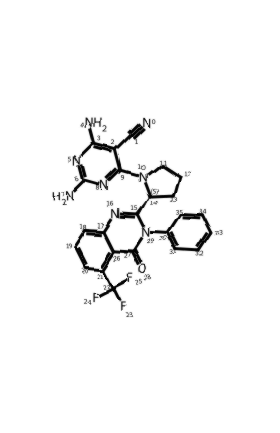 N#Cc1c(N)nc(N)nc1N1CCC[C@H]1c1nc2cccc(C(F)(F)F)c2c(=O)n1-c1ccccc1